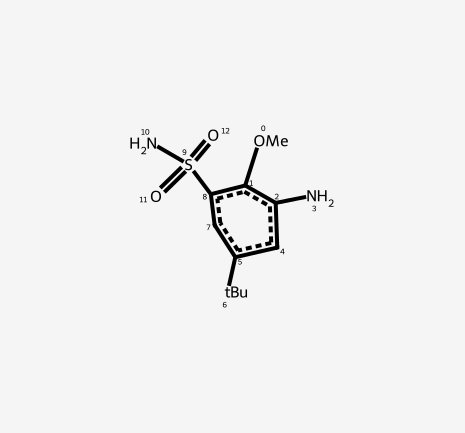 COc1c(N)cc(C(C)(C)C)cc1S(N)(=O)=O